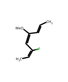 CC=C/C(=C\C(F)=C/C)OC